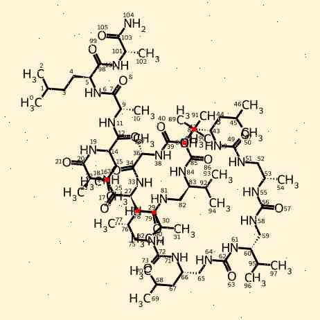 CC(C)CC[C@H](NC(=O)[C@H](C)NC(=O)C(CC(C)C)NC(=O)[C@H](C)NC(=O)[C@H](CCC(C)C)NC(=O)[C@H](C)NC(=O)NC[C@H](CC(C)C)NC(=O)NC[C@H](C)NC(=O)NC[C@@H](NC(=O)NC[C@H](CC(C)C)NC(=O)NC[C@H](C)NC(=O)NC[C@@H](NC(=O)OC(C)(C)C)C(C)C)C(C)C)C(=O)N[C@@H](C)C(N)=O